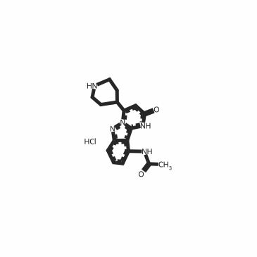 CC(=O)Nc1cccc2nn3c(C4CCNCC4)cc(=O)[nH]c3c12.Cl